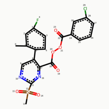 Cc1cc(F)ccc1-c1cnc(S(C)(=O)=O)nc1C(=O)OOC(=O)c1cccc(Cl)c1